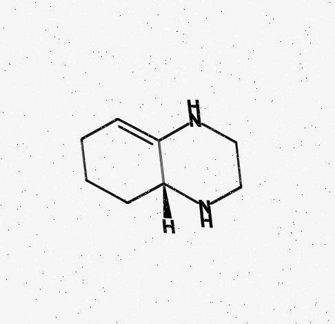 C1=C2NCCN[C@@H]2CCC1